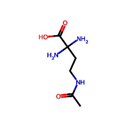 CC(=O)NCCC(N)(N)C(=O)O